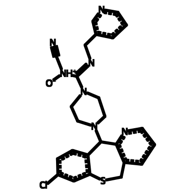 N#C[NH+]([O-])/C(=N\Cc1cccnc1)N1CCN(C2c3ccc(Cl)cc3SCc3cccnc32)CC1